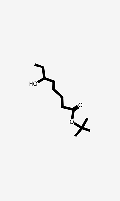 CCC(O)CCCCC(=O)OC(C)(C)C